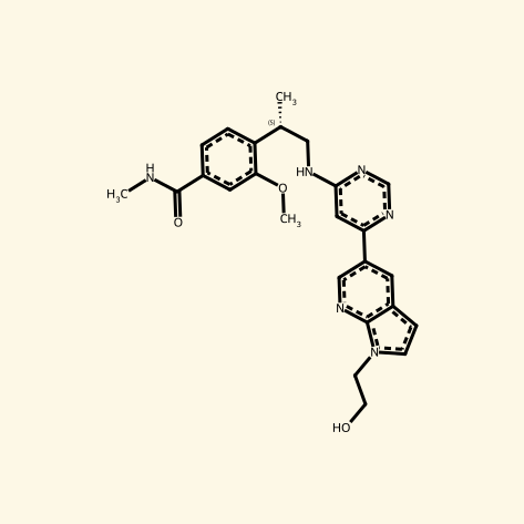 CNC(=O)c1ccc([C@H](C)CNc2cc(-c3cnc4c(ccn4CCO)c3)ncn2)c(OC)c1